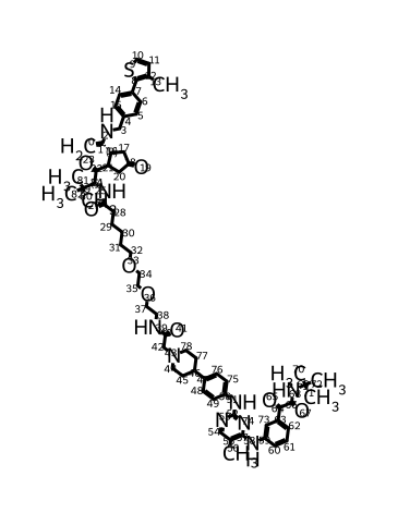 C=C(NCc1ccc(-c2sccc2C)cc1)[C@@H]1CC(=O)CC1C(=O)[C@@H](NC(=O)CCCCCOCCOCCNC(=O)CN1CCC(c2ccc(Nc3ncc(C)c(Nc4cccc(C(=O)C(=O)NC(C)(C)C)c4)n3)cc2)CC1)C(C)(C)C